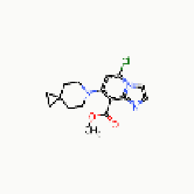 COC(=O)c1c(N2CCC3(CC2)CC3)cc(Cl)n2ccnc12